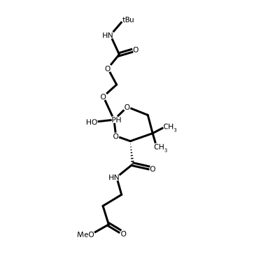 [CH2]C(C)(C)NC(=O)OCO[PH]1(O)OCC(C)(C)[C@H](C(=O)NCCC(=O)OC)O1